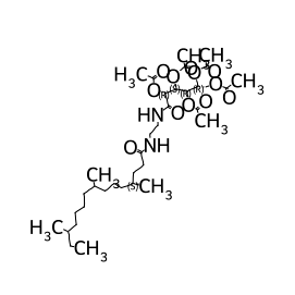 CCC(C)CCCCC(C)CCC[C@H](C)CCC(=O)NCCNC(=O)[C@H](OC(C)=O)[C@@H](OC(C)=O)[C@H](OC(C)=O)[C@@H](COC(C)=O)OC(C)=O